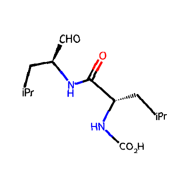 CC(C)C[C@@H](C=O)NC(=O)[C@H](CC(C)C)NC(=O)O